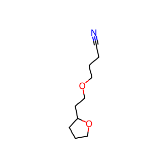 N#CCCCOCCC1CCCO1